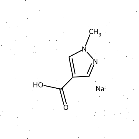 Cn1cc(C(=O)O)cn1.[Na]